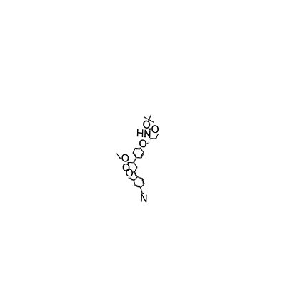 CCOC(=O)C(Cc1occ2cc(C#N)ccc12)c1ccc(OC[C@@H](CC)NC(=O)OC(C)(C)C)cc1